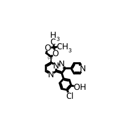 CC1(C)OC[C@H](c2ccnc3c(-c4ccc(Cl)c(O)c4)c(-c4ccncc4)nn23)O1